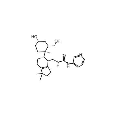 CC1(C)CCC2=C1CC[C@H]([C@@]1(C)CC[C@H](O)C[C@@H]1CO)[C@H]2CNC(=O)Nc1cccnc1